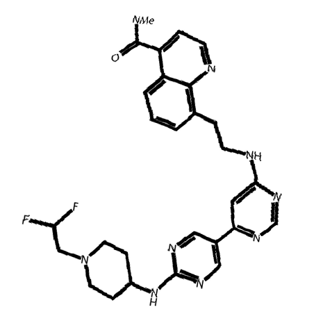 CNC(=O)c1ccnc2c(CCNc3cc(-c4cnc(NC5CCN(CC(F)F)CC5)nc4)ncn3)cccc12